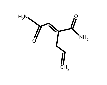 C=CC/C(=C\C(N)=O)C(N)=O